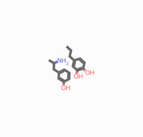 CC(N)Cc1cccc(O)c1.CCCc1ccc(O)c(O)c1